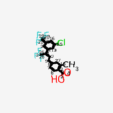 CC1=C(C(=O)O)C=CC(=CC=C(c2cc(Cl)cc(C(F)(F)F)c2)C(F)(F)F)C1